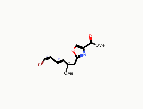 COC(=O)c1coc(C[C@H](/C=C/C=C\Br)OC)n1